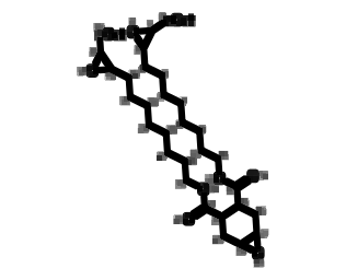 CCCCCCCCC1OC1CCCCCCCCOC(=O)C1CC2OC2CC1C(=O)OCCCCCCCCC1OC1CCCCCCCC